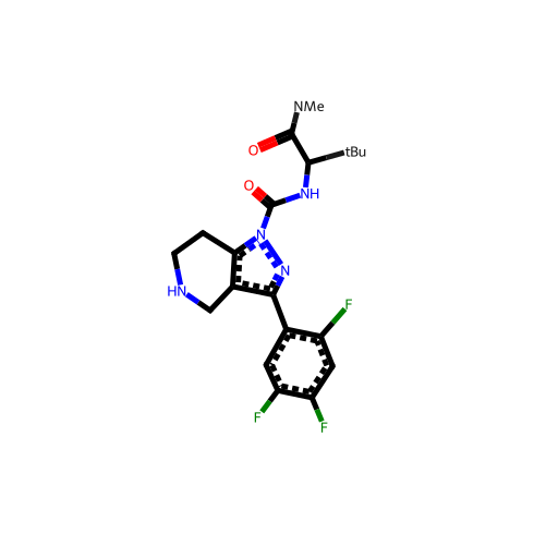 CNC(=O)C(NC(=O)n1nc(-c2cc(F)c(F)cc2F)c2c1CCNC2)C(C)(C)C